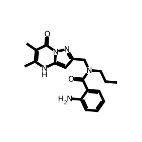 CCCN(Cc1cc2[nH]c(C)c(C)c(=O)n2n1)C(=O)c1ccccc1N